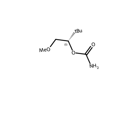 COC[C@@H](OC(N)=O)C(C)(C)C